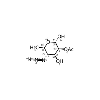 CC(=O)O[C@H]1[C@@H](O)[C@H](N=[N+]=[N-])[C@@H](C)O[C@@H]1O